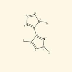 Cc1cn(C)nc1-c1nccn1C